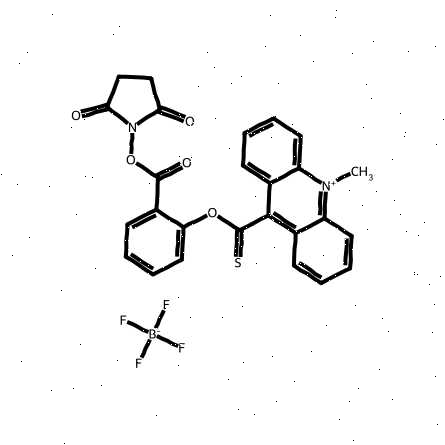 C[n+]1c2ccccc2c(C(=S)Oc2ccccc2C(=O)ON2C(=O)CCC2=O)c2ccccc21.F[B-](F)(F)F